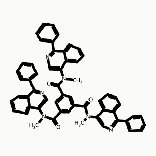 CN(C(=O)c1cc(C(=O)N(C)c2cnc(-c3ccccc3)c3ccccc23)cc(C(=O)N(C)c2cnc(-c3ccccc3)c3ccccc23)c1)c1cnc(-c2ccccc2)c2ccccc12